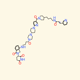 O=C(/C=C/c1cccnc1)NCCCCC1CCN(C(=O)c2ccc(N3CCC(N4CCN(C(=O)CCCNc5cccc6c5CN(C5CCC(=O)NC5=O)C6=O)CC4)CC3)nc2)CC1